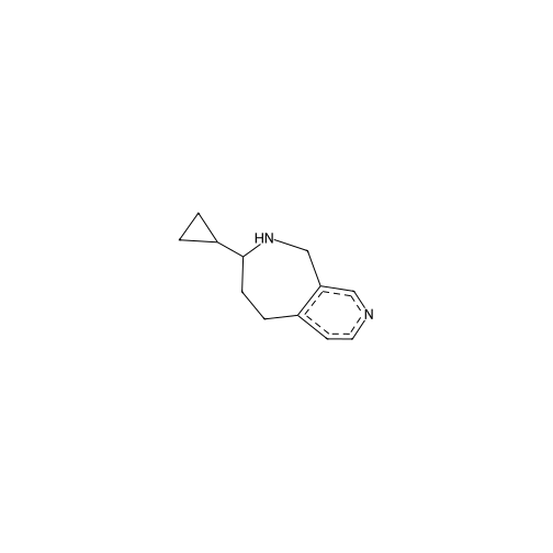 c1cc2c(cn1)CNC(C1CC1)CC2